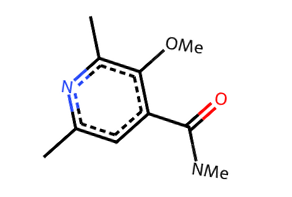 CNC(=O)c1cc(C)nc(C)c1OC